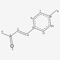 CC(=O)/C=C/c1ccc(C)cc1